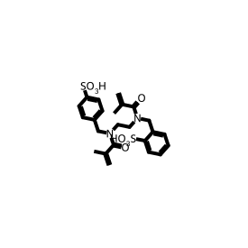 C=C(C)C(=O)N(CCN(Cc1ccccc1S(=O)(=O)O)C(=O)C(=C)C)Cc1ccc(S(=O)(=O)O)cc1